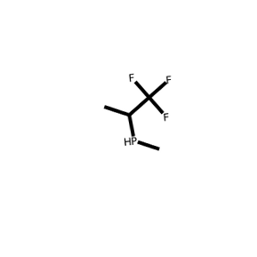 CPC(C)C(F)(F)F